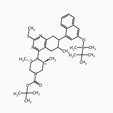 CSc1nc2c(c(N3[C@@H](C)CN(C(=O)OC(C)(C)C)C[C@@H]3C)n1)CC(C)C(c1cc(O[Si](C)(C)C(C)(C)C)cc3ccccc13)C2